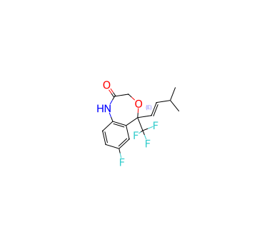 CC(C)/C=C/C1(C(F)(F)F)OCC(=O)Nc2ccc(F)cc21